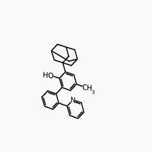 Cc1cc(-c2ccccc2-c2ccccn2)c(O)c(C23CC4CC(CC(C4)C2)C3)c1